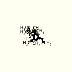 C=CCc1cc(C(C)(C)C)c(O[Si](C)(C)CC)c(C(C)(C)C)c1